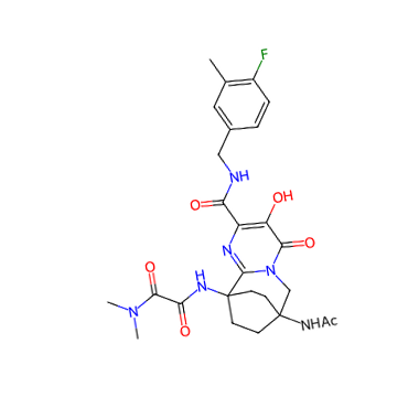 CC(=O)NC12CCC(NC(=O)C(=O)N(C)C)(CC1)c1nc(C(=O)NCc3ccc(F)c(C)c3)c(O)c(=O)n1C2